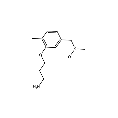 Cc1ccc(C[S+](C)[O-])cc1OCCCN